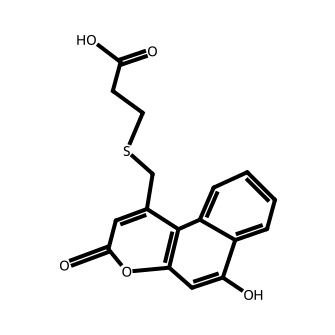 O=C(O)CCSCc1cc(=O)oc2cc(O)c3ccccc3c12